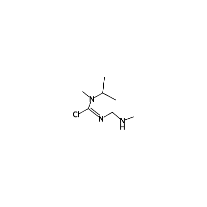 CNC/N=C(/Cl)N(C)C(C)C